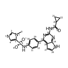 Cn1cncc1S(=O)(=O)Nc1ccc(-c2nc(NC(=O)C3CC3)nc3[nH]ccc23)cc1